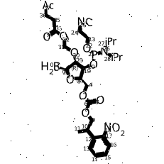 B[C@@H]1O[C@H](COC(=O)OCC(C)c2ccccc2[N+](=O)[O-])C(OP(OCC[N+]#[C-])N(C(C)C)C(C)C)[C@@H]1OCOC(=O)CCC(C)=O